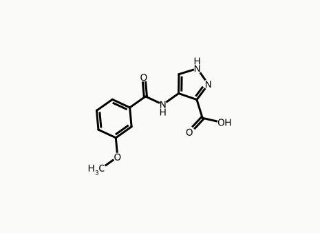 COc1cccc(C(=O)Nc2c[nH]nc2C(=O)O)c1